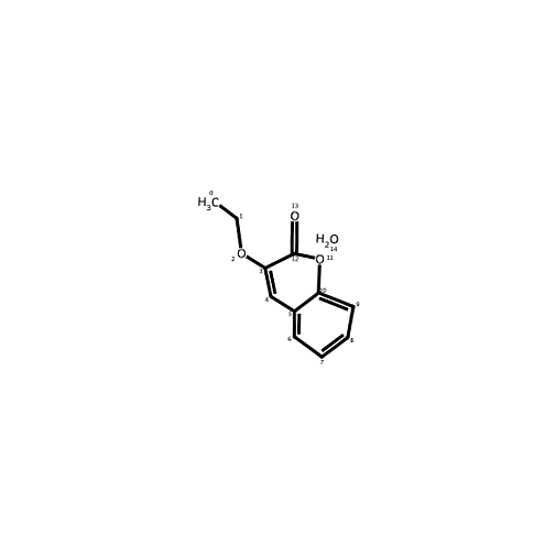 CCOc1cc2ccccc2oc1=O.O